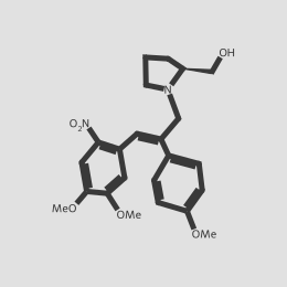 COc1ccc(/C(=C\c2cc(OC)c(OC)cc2[N+](=O)[O-])CN2CCC[C@H]2CO)cc1